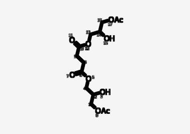 CC(=O)OCC(O)COC(=O)CCC(=O)OCC(O)COC(C)=O